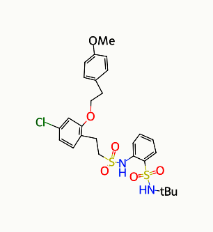 COc1ccc(CCOc2cc(Cl)ccc2CCS(=O)(=O)Nc2ccccc2S(=O)(=O)NC(C)(C)C)cc1